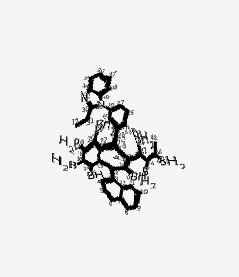 B=c1c(-c2cccc3ccccc23)c2c(B)c(B)c(B)c(B)c2c(-c2cccc(-n3c(CC)nc4ccccc43)c2)/c1=C(B)/C(B)=C(/B)C